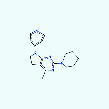 Clc1nc(N2CCCCC2)nc2c1CCN2c1ccncc1